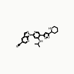 CC(C)Nc1cc(-n2ncc3cc(C#N)cnc32)ncc1-c1cc(C2CCCCN2)on1